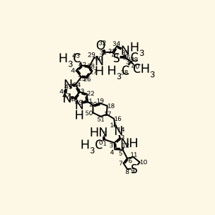 CC(=N)c1cc(C2=CCSCC2)[nH]c1/N=C/CC1CC=C(c2cc3c(-c4ccc(CNC(=O)c5cnc(C(C)(C)C)s5)c(C)c4)ncnc3[nH]2)CC1